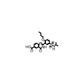 CCCCOc1ccc(S(=O)(=O)NC(C)C)cc1-c1nc2ccc(C(=O)O)cc2c(=O)[nH]1